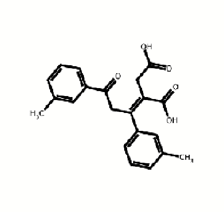 Cc1cccc(C(=O)CC(=C(CC(=O)O)C(=O)O)c2cccc(C)c2)c1